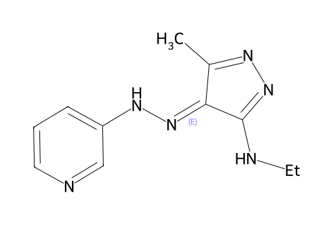 CCNC1=NN=C(C)/C1=N\Nc1cccnc1